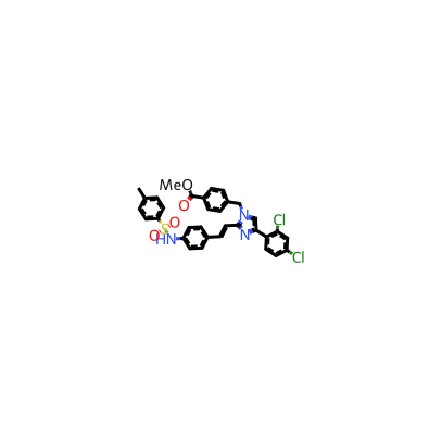 COC(=O)c1ccc(Cn2cc(-c3ccc(Cl)cc3Cl)nc2C=Cc2ccc(NS(=O)(=O)c3ccc(C)cc3)cc2)cc1